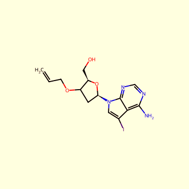 C=CCOC1C[C@H](n2cc(I)c3c(N)ncnc32)O[C@@H]1CO